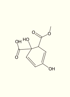 COC(=O)C1C=C(O)C=CC1(O)C(=O)O